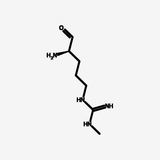 CNC(=N)NCCC[C@@H](N)C=O